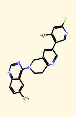 Cc1ccc2ncnc(N3CCc4ncc(-c5cnc(F)cc5C)cc4C3)c2c1